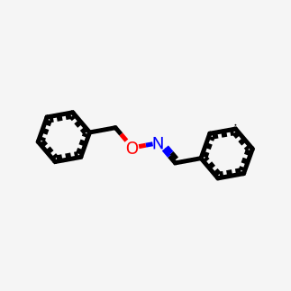 [c]1cccc(C=NOCc2ccccc2)c1